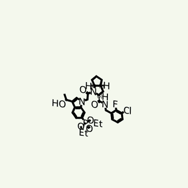 CCOP(=O)(OCC)c1ccc2c(C(C)O)cn(CC(=O)N3[C@@H]4CCC[C@@H]4C[C@H]3C(=O)NCc3cccc(Cl)c3F)c2c1